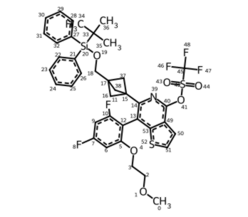 COCCOc1cc(F)cc(F)c1-c1c(C23CC(CO[Si](c4ccccc4)(c4ccccc4)C(C)(C)C)(C2)C3)nc(OS(=O)(=O)C(F)(F)F)c2ccsc12